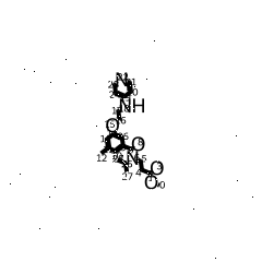 COC(=O)CCN(C(=O)c1cc(C)cc(OCCNc2ccncc2)c1)C(C)C